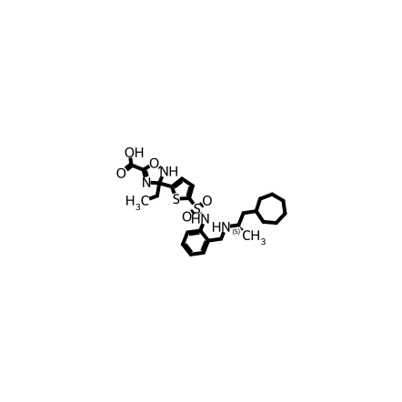 CCC1(c2ccc(S(=O)(=O)Nc3ccccc3CN[C@@H](C)CC3CCCCCC3)s2)N=C(C(=O)O)ON1